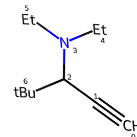 C#CC(N(CC)CC)C(C)(C)C